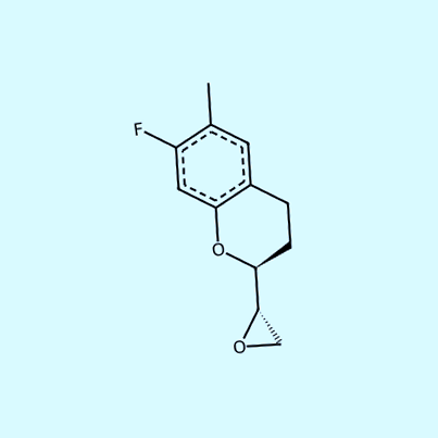 Cc1cc2c(cc1F)O[C@H]([C@@H]1CO1)CC2